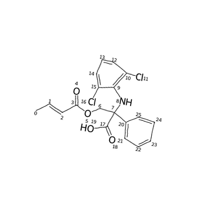 CC=CC(=O)OCC(Nc1c(Cl)cccc1Cl)(C(=O)O)c1ccccc1